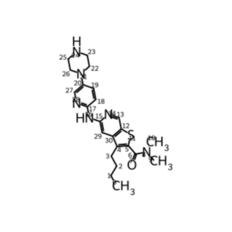 CCCCc1c(C(=O)N(C)C)sc2cnc(Nc3ccc(N4CCNCC4)cn3)cc12